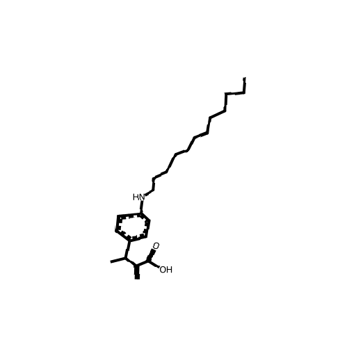 C=C(C(=O)O)C(C)c1ccc(NCCCCCCCCCCCC)cc1